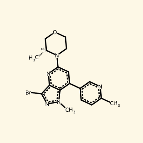 Cc1ccc(-c2cc(N3CCOC[C@H]3C)nc3c(Br)nn(C)c23)cn1